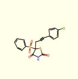 O=C1NC(=O)C(CC#Cc2ccc(Cl)cc2)(S(=O)(=O)c2ccccc2)S1